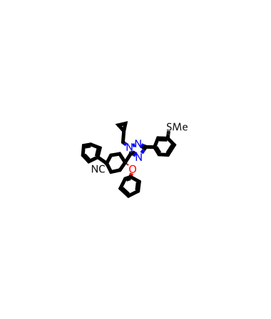 CSc1cccc(-c2nc([C@]3(Oc4ccccc4)CC[C@@](C#N)(c4ccccc4)CC3)n(CC3CC3)n2)c1